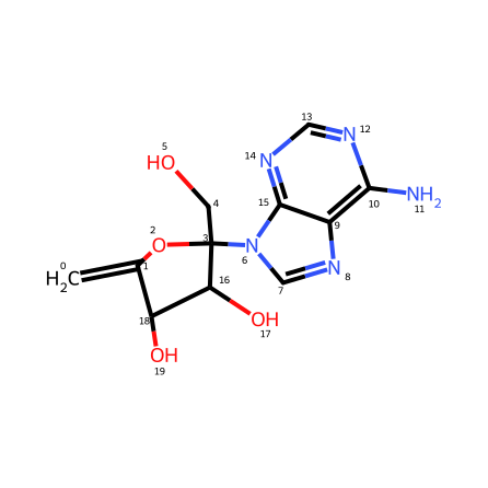 C=C1OC(CO)(n2cnc3c(N)ncnc32)C(O)C1O